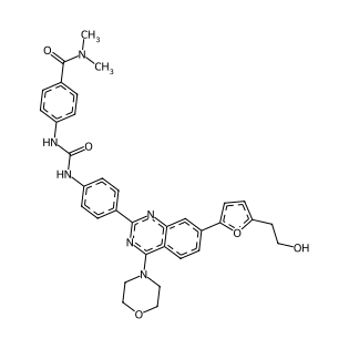 CN(C)C(=O)c1ccc(NC(=O)Nc2ccc(-c3nc(N4CCOCC4)c4ccc(-c5ccc(CCO)o5)cc4n3)cc2)cc1